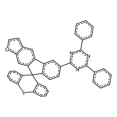 c1ccc(-c2nc(-c3ccccc3)nc(-c3ccc4c(c3)-c3cc5ccoc5cc3C43c4ccccc4Sc4ccccc43)n2)cc1